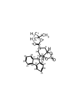 CC(C)(C)OC(=O)N1C[C@@H]2OS(=O)O[C@@H]2[C@@H](n2c3ccccc3c3ccccc32)C1